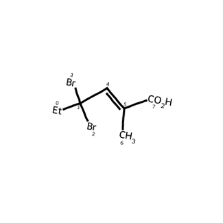 CCC(Br)(Br)/C=C(\C)C(=O)O